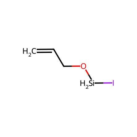 C=CCO[SiH2]I